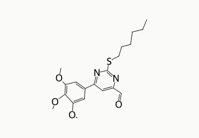 CCCCCCSc1nc(C=O)cc(-c2cc(OC)c(OC)c(OC)c2)n1